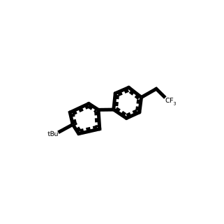 CC(C)(C)c1ccc(-c2ccc(CC(F)(F)F)cc2)cc1